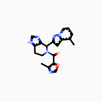 Cc1ncoc1C(=O)N1CCc2[nH]cnc2C1c1cc2c(C)cccn2n1